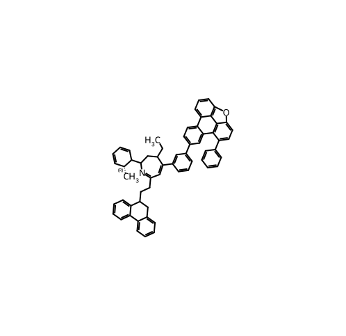 CCC1CC(C2C=CC=C[C@H]2C)N=C(CCC2Cc3ccccc3-c3ccccc32)C=C1c1cccc(-c2ccc3c(c2)c2c(-c4ccccc4)ccc4oc5cccc3c5c42)c1